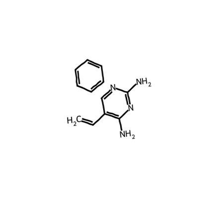 C=Cc1cnc(N)nc1N.c1ccccc1